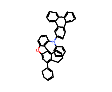 C1=CCCC(c2cc3oc4cccc(N(c5ccccc5)c5ccc6c7ccccc7c7ccccc7c6c5)c4c3c3c2CCC=C3)=C1